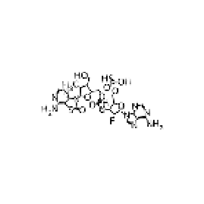 C[C@@H]1C(CO)[C@@H](CO[PH](=O)OC2C(COP(=O)(O)S)O[C@@H](n3cnc4c(N)ncnc43)[C@@H]2F)O[C@H]1n1c(=O)sc2c(N)ncnc21